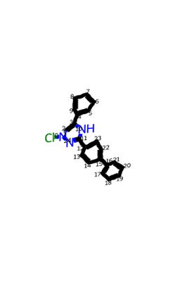 ClN1C=C(c2ccccc2)NC(c2ccc(-c3ccccc3)cc2)=N1